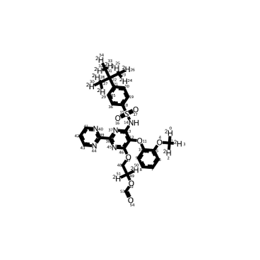 [2H]C([2H])([2H])Oc1ccccc1Oc1c(NS(=O)(=O)c2ccc(C(C([2H])([2H])[2H])(C([2H])([2H])[2H])C([2H])([2H])[2H])cc2)nc(-c2ncccn2)nc1OCC([2H])([2H])OC=O